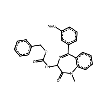 COc1cccc(C2=NC(NC(=O)OCc3ccccc3)C(=O)N(C)c3ccccc32)c1